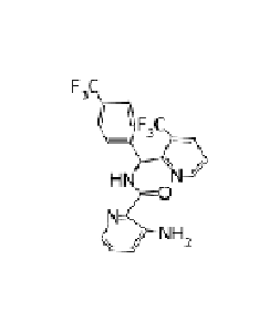 Nc1cccnc1C(=O)N[C@@H](c1ccc(C(F)(F)F)cc1)c1ncccc1C(F)(F)F